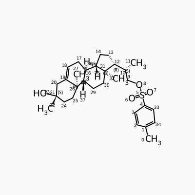 Cc1ccc(S(=O)(=O)OC[C@@H](C)[C@H]2CC[C@H]3[C@@H]4CC=C5C[C@@](C)(O)CC[C@]5(C)[C@H]4CC[C@]23C)cc1